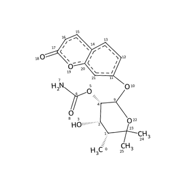 C[C@@H]1[C@H](O)[C@H](OC(N)=O)C(Oc2ccc3ccc(=O)oc3c2)OC1(C)C